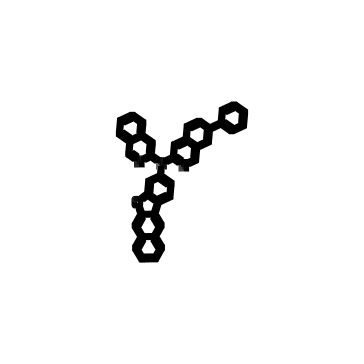 c1ccc(-c2ccc3cc(N(c4ccc5c(c4)oc4cc6ccccc6cc45)c4cc5ccccc5cn4)ncc3c2)cc1